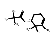 C[CH]C(C)(C)C(=O)C[C@@H]1CCC=C(C)C1(C)C